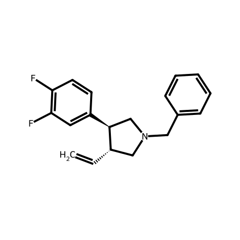 C=C[C@H]1CN(Cc2ccccc2)C[C@@H]1c1ccc(F)c(F)c1